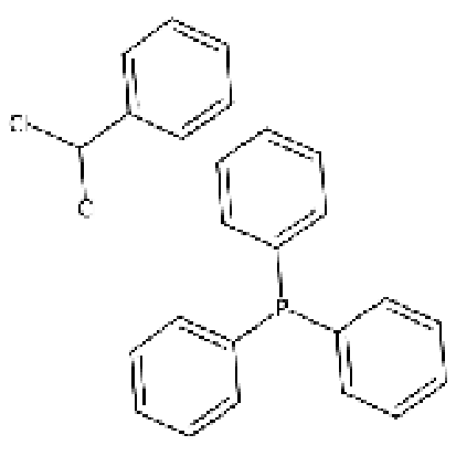 ClC(Cl)c1ccccc1.c1ccc(P(c2ccccc2)c2ccccc2)cc1